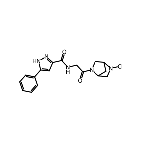 O=C(NCC(=O)N1CC2CC1CN2Cl)c1cc(-c2ccccc2)[nH]n1